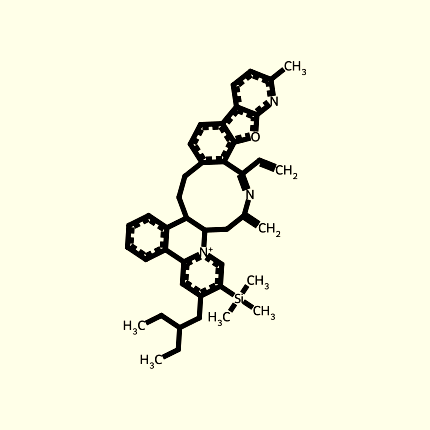 C=C/C1=N/C(=C)CC2C(CCc3ccc4c(oc5nc(C)ccc54)c31)c1ccccc1-c1cc(CC(CC)CC)c([Si](C)(C)C)c[n+]12